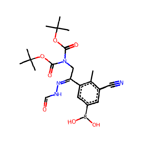 Cc1c(C#N)cc(B(O)O)cc1/C(CN(C(=O)OC(C)(C)C)C(=O)OC(C)(C)C)=N\NC=O